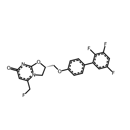 O=c1cc(CF)n2c(n1)O[C@H](COc1ccc(-c3cc(F)cc(F)c3F)cc1)C2